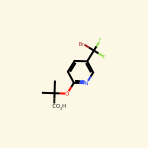 CC(C)(Oc1ccc(C(F)(F)Br)cn1)C(=O)O